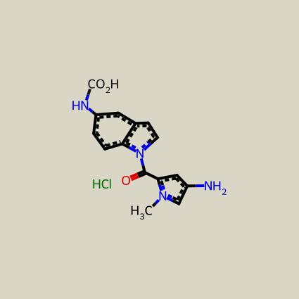 Cl.Cn1cc(N)cc1C(=O)n1ccc2cc(NC(=O)O)ccc21